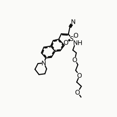 COCCOCCOCCNS(=O)(=O)C(C#N)=Cc1ccc2cc(N3CCCCC3)ccc2c1